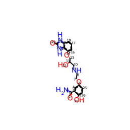 NC(=O)c1cc(OCCNCC(O)COc2cccc3[nH]c(=O)[nH]c23)ccc1O